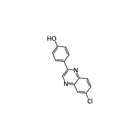 Oc1ccc(-c2cnc3cc(Cl)ccc3n2)cc1